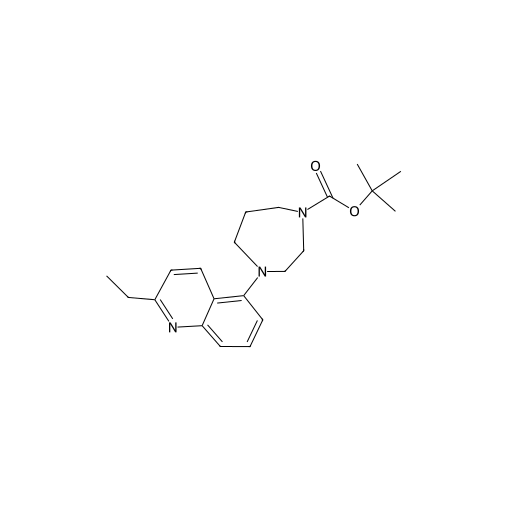 CCc1ccc2c(N3CCCN(C(=O)OC(C)(C)C)CC3)cccc2n1